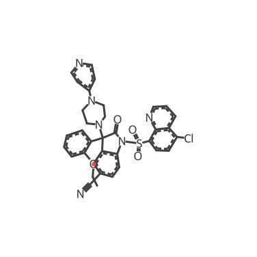 CCOc1ccccc1C1(N2CCN(c3ccncc3)CC2)C(=O)N(S(=O)(=O)c2ccc(Cl)c3cccnc23)c2ccc(C#N)cc21